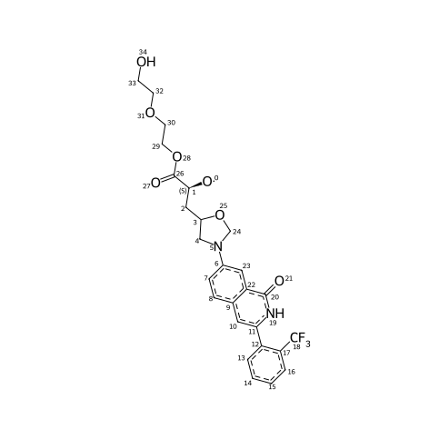 [O][C@@H](CC1CN(c2ccc3cc(-c4ccccc4C(F)(F)F)[nH]c(=O)c3c2)CO1)C(=O)OCCOCCO